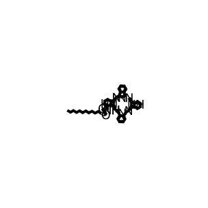 CCCCCCCCCCCCS(=O)(=O)Nc1cccc2c3nc4nc(nc5[nH]c(nc6nc(nc([nH]3)c12)-c1ccccc1-6)c1ccccc51)-c1ccccc1-4